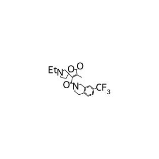 CCN1CCC2(C1)OC(=O)C(C)=C2C(=O)N1CCc2ccc(C(F)(F)F)cc2C1